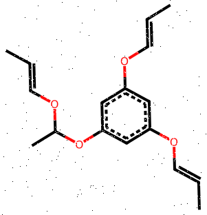 CC=COc1cc(OC=CC)cc(OC(C)OC=CC)c1